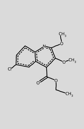 CCOC(=O)c1c(OC)c(OC)nc2ccc(Cl)cc12